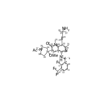 COC1(c2cc3c(N[C@H](C)c4cccc(C(F)F)c4F)nc(C)c(C#CC(C)(C)N)c3n(C)c2=O)CCN(C(C)=O)CC1